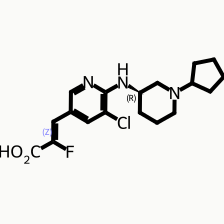 O=C(O)/C(F)=C/c1cnc(N[C@@H]2CCCN(C3CCCC3)C2)c(Cl)c1